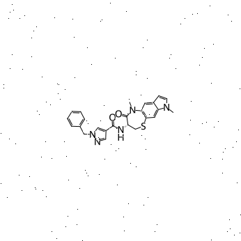 CN1C(=O)[C@@H](NC(=O)c2cnn(Cc3ccccc3)c2)CSc2cc3c(ccn3C)cc21